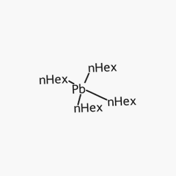 CCCCC[CH2][Pb]([CH2]CCCCC)([CH2]CCCCC)[CH2]CCCCC